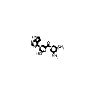 C[C@H]1C[C@@H](N)CN(C(=O)C2=CN(c3ncnc4[nH]ccc34)CCS2)C1.Cl